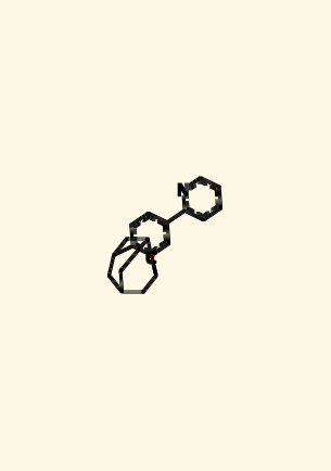 c1ccc(-c2ccc3c(c2)C2CC4CC(CC3C4)C2)nc1